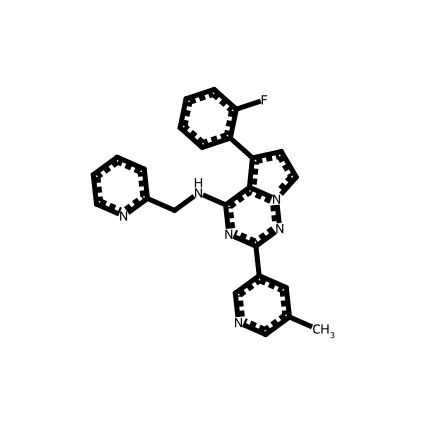 Cc1cncc(-c2nc(NCc3ccccn3)c3c(-c4ccccc4F)ccn3n2)c1